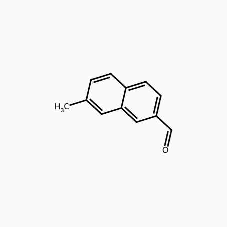 Cc1ccc2ccc(C=O)cc2c1